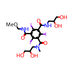 COCNC(=O)c1c(I)c(C(=O)NCC(O)CO)c(I)c(C(=O)N(C)CC(O)CO)c1I